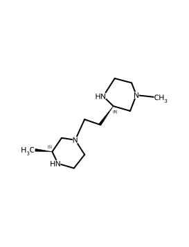 C[C@H]1CN(CC[C@@H]2CN(C)CCN2)CCN1